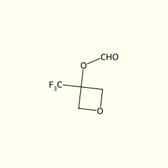 O=COC1(C(F)(F)F)COC1